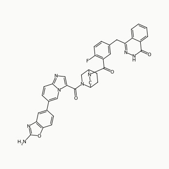 Nc1nc2cc(-c3ccc4ncc(C(=O)N5CC6CCC5CN6C(=O)c5cc(Cc6n[nH]c(=O)c7ccccc67)ccc5F)n4c3)ccc2o1